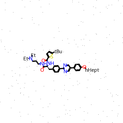 CCCCCCCOc1ccc(-c2cnc(-c3ccc(C[C@H](NC(=O)c4ccc(C(C)(C)C)s4)C(=O)NCCCN(CC)CC)cc3)nc2)cc1